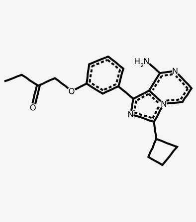 CCC(=O)COc1cccc(-c2nc(C3CCC3)n3ccnc(N)c23)c1